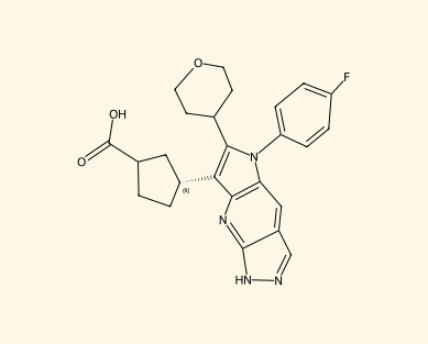 O=C(O)C1CC[C@@H](c2c(C3CCOCC3)n(-c3ccc(F)cc3)c3cc4cn[nH]c4nc23)C1